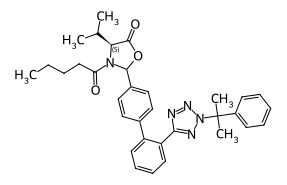 CCCCC(=O)N1C(c2ccc(-c3ccccc3-c3nnn(C(C)(C)c4ccccc4)n3)cc2)OC(=O)[C@@H]1C(C)C